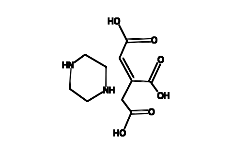 C1CNCCN1.O=C(O)C=C(CC(=O)O)C(=O)O